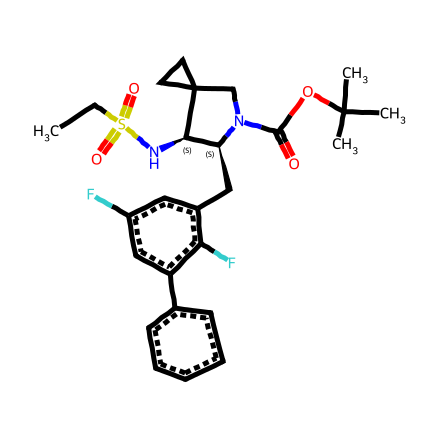 CCS(=O)(=O)N[C@@H]1[C@H](Cc2cc(F)cc(-c3ccccc3)c2F)N(C(=O)OC(C)(C)C)CC12CC2